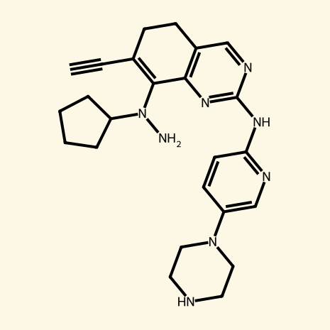 C#CC1=C(N(N)C2CCCC2)c2nc(Nc3ccc(N4CCNCC4)cn3)ncc2CC1